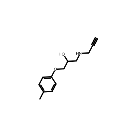 C#CCNCC(O)COc1ccc(C)cc1